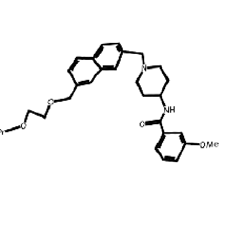 COc1cccc(C(=O)NC2CCN(Cc3ccc4ccc(COCCOC(C)C)cc4c3)CC2)c1